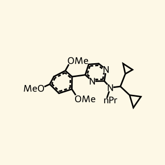 CCCN(c1nccc(-c2c(OC)cc(OC)cc2OC)n1)C(C1CC1)C1CC1